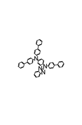 c1ccc(-c2ccc(N(c3ccc(-c4ccccc4)cc3)c3ccc4c(c3)n3c5ccccc5nc3n4-c3ccc(-c4ccccc4)cc3)cc2)cc1